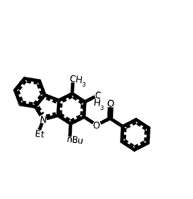 CCCCc1c(OC(=O)c2ccccc2)c(C)c(C)c2c3ccccc3n(CC)c12